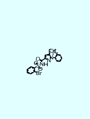 Cc1cc(C(=O)NS(=O)(=O)c2ccccc2Br)nn1-c1ccccc1C(F)(F)F